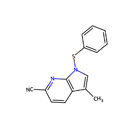 Cc1cn(Sc2ccccc2)c2nc(C#N)ccc12